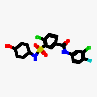 O=C(Nc1ccc(F)c(Cl)c1)c1ccc(Cl)c(S(=O)(=O)NC2CCC(O)CC2)c1